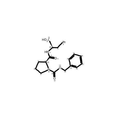 CC(C)C[C@@H](NC(=O)[C@@H]1CCCN1C(=O)OCc1ccccc1)C(=O)O